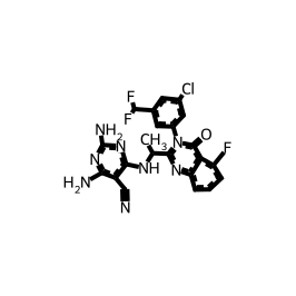 CC(Nc1nc(N)nc(N)c1C#N)c1nc2cccc(F)c2c(=O)n1-c1cc(Cl)cc(C(F)F)c1